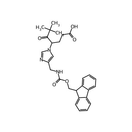 CC(C)(C)C(=O)C(CCC(=O)O)n1cnc(CNC(=O)OCC2c3ccccc3-c3ccccc32)c1